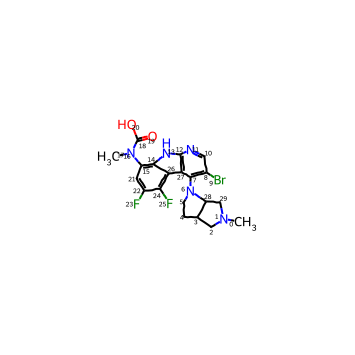 CN1CC2CCN(c3c(Br)cnc4[nH]c5c(N(C)C(=O)O)cc(F)c(F)c5c34)C2C1